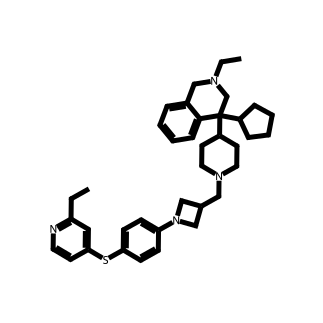 CCc1cc(Sc2ccc(N3CC(CN4CCC(C5(C6CCCC6)CN(CC)Cc6ccccc65)CC4)C3)cc2)ccn1